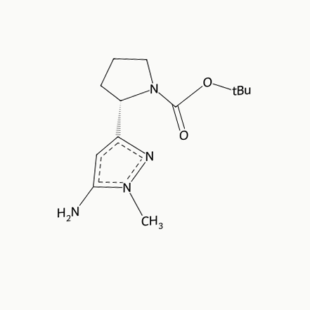 Cn1nc([C@@H]2CCCN2C(=O)OC(C)(C)C)cc1N